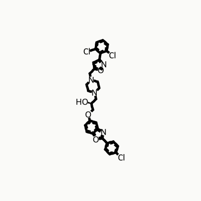 O[C@H](COc1ccc2oc(-c3ccc(Cl)cc3)nc2c1)CN1CCN(Cc2cc(-c3c(Cl)cccc3Cl)no2)CC1